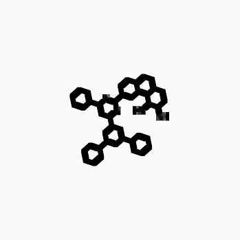 N=C1C=Cc2ccc3ccc(-c4nc(-c5ccccc5)cc(-c5cc(-c6ccccc6)cc(-c6ccccc6)c5)n4)cc3c2C1=N